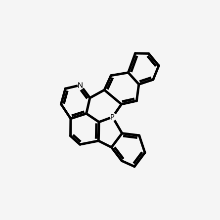 c1ccc2cc3c(cc2c1)c1nccc2ccc4c5ccccc5p3c4c21